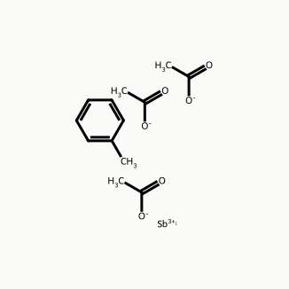 CC(=O)[O-].CC(=O)[O-].CC(=O)[O-].Cc1ccccc1.[Sb+3]